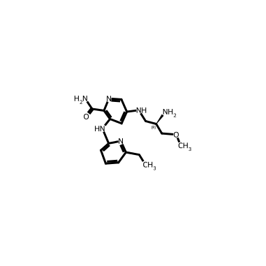 CCc1cccc(Nc2cc(NC[C@@H](N)COC)cnc2C(N)=O)n1